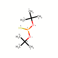 CC(C)(C)OP(S)OC(C)(C)C